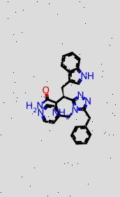 NC(=O)C(N)[C@@H](Cc1c[nH]c2ccccc12)c1nnc(Cc2ccccc2)n1Cc1ccncc1